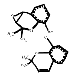 CC(=O)c1cccc2c1OC(C)(C)C1OC21.CC(=O)c1cccc2c1OC(C)(C)C=C2